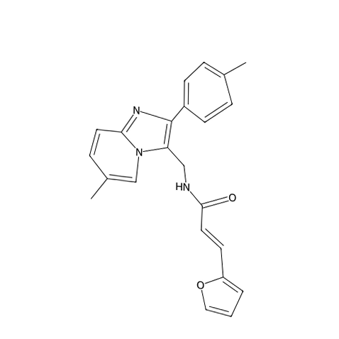 Cc1ccc(-c2nc3ccc(C)cn3c2CNC(=O)C=Cc2ccco2)cc1